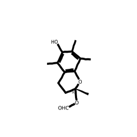 Cc1c(C)c2c(c(C)c1O)CC[C@@](C)(OC=O)O2